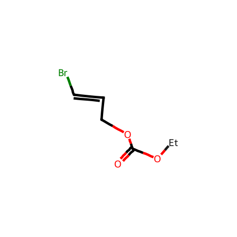 CCOC(=O)OCC=CBr